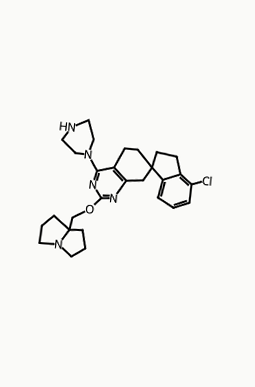 Clc1cccc2c1CCC21CCc2c(nc(OCC34CCCN3CCC4)nc2N2CCNCC2)C1